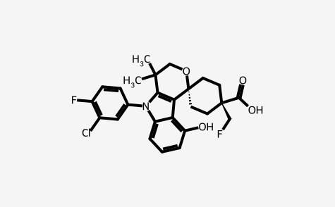 CC1(C)CO[C@]2(CC[C@@](CF)(C(=O)O)CC2)c2c1n(-c1ccc(F)c(Cl)c1)c1cccc(O)c12